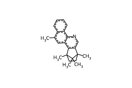 Cc1cc2c3c(cnc2c2ccccc12)C1(C)CCC3(C)C1(C)C